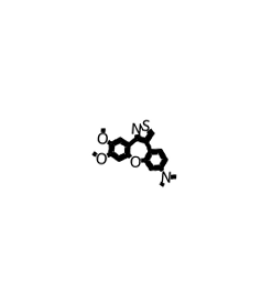 COc1cc2c(cc1OC)-c1nscc1-c1ccc(N(C)C)cc1O2